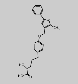 Cc1sc(-c2ccccc2)nc1COc1ccc(CCCC(O)C(=O)O)cc1